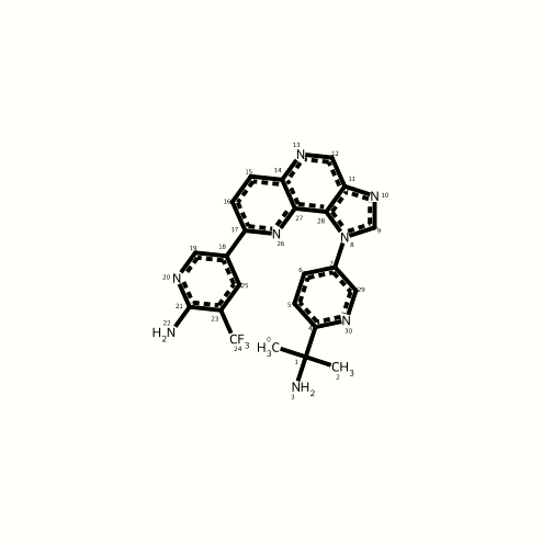 CC(C)(N)c1ccc(-n2cnc3cnc4ccc(-c5cnc(N)c(C(F)(F)F)c5)nc4c32)cn1